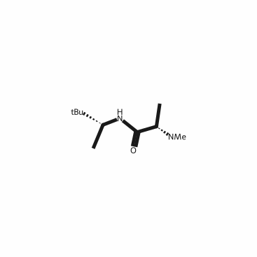 CN[C@@H](C)C(=O)N[C@H](C)C(C)(C)C